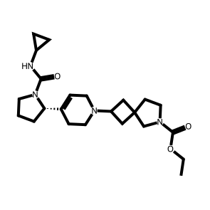 CCOC(=O)N1CCC2(CC(N3CC=C([C@@H]4CCCN4C(=O)NC4CC4)CC3)C2)C1